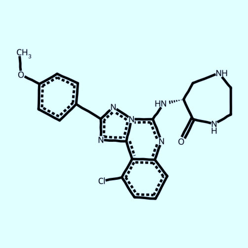 COc1ccc(-c2nc3c4c(Cl)cccc4nc(N[C@@H]4CNCCNC4=O)n3n2)cc1